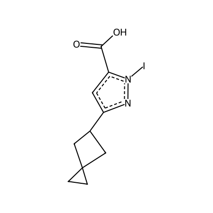 O=C(O)c1cc(C2CC3(CC3)C2)nn1I